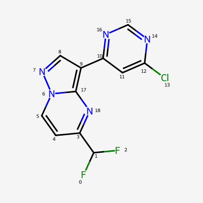 FC(F)c1ccn2ncc(-c3cc(Cl)ncn3)c2n1